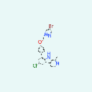 Cc1nccc2c1[nH]c1c(-c3ccc(OCCn4cc(Br)cn4)cc3)cc(Cl)cc12